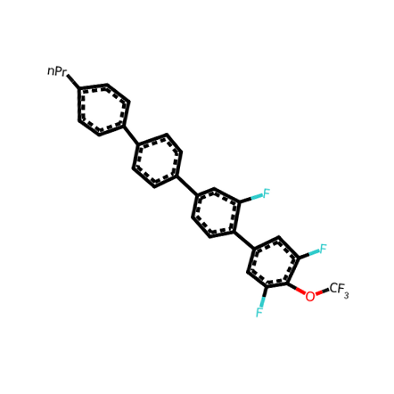 CCCc1ccc(-c2ccc(-c3ccc(-c4cc(F)c(OC(F)(F)F)c(F)c4)c(F)c3)cc2)cc1